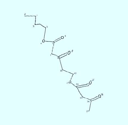 CCCCOC(=O)CC(=O)CCOC(=O)CC(C)=O